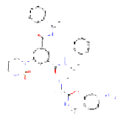 C[C@H](NC[C@H](Cc1ccccc1)NC(=O)c1cc(C(=O)N[C@H](C)c2ccccc2)cc(N2CCCNS2(=O)=O)c1)C(=O)N[C@H](C)c1ccc(N)cc1